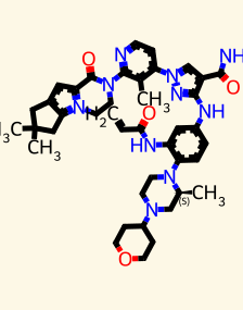 C=CC(=O)Nc1cc(Nc2nn(-c3ccnc(N4CCn5c(cc6c5CC(C)(C)C6)C4=O)c3C)cc2C(N)=O)ccc1N1CCN(C2CCOCC2)C[C@@H]1C